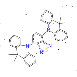 CC1(C)c2ccccc2N(c2ccc(N3c4ccccc4C(C)(C)c4ccccc43)c3nsnc23)c2ccccc21